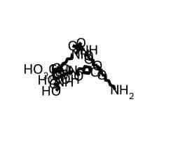 NCCCCCOCCOCCOOCNc1c(NCCCCCCO[C@]2(C(=O)O)C[C@H](O)[C@@H](NC(=O)CO)[C@H]([C@H](O)[C@H](O)CNC(=O)Cc3ccc(Cl)cc3)O2)c(=O)c1=O